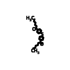 CCCCCCC(=O)c1ccc(Sc2ccc(C(=O)CCCCCC)cc2)cc1